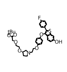 CC(C)(C)OC(=O)COCCO[C@@H]1CCN(CCOc2ccc(Oc3c(-c4ccc(F)cc4)sc4cc(O)ccc34)cc2)C1